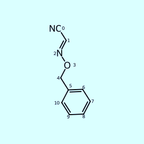 N#CC=NOCc1ccccc1